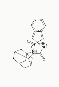 NC(=O)NC12CC3CC(C1)C(N1CC4(C=c5ccccc5=C4)NC1=O)C(C3)C2